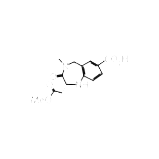 COC(=O)C[C@H]1Nc2ccc(C(=O)O)cc2CN(C)C1=O